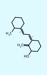 C=C1/C(=C\C=C2/CCCCC2C)CCCC1O